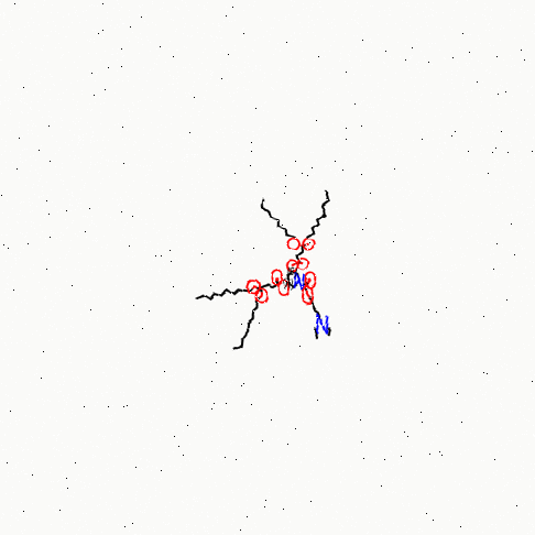 CCCCCCCCCOC(CCC(=O)O[C@@H]1C[C@H](OC(=O)CCC(OCCCCCCCCC)OCCCCCCCCC)CN(C(=O)OCCCN(CC)CC)C1)OCCCCCCCCC